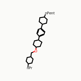 CCCCCC1CCC(c2ccc(C3CCC(OCC4CCC(CCC)CC4)CC3)cc2)CC1